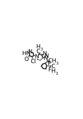 C[C@H]1c2nnn([C@@H](C)c3ccccc3C(C)(F)F)c2CCN1c1cn[nH]c(=O)c1Cl